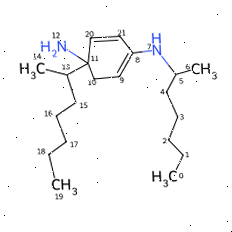 CCCCCC(C)NC1=CCC(N)(C(C)CCCCC)C=C1